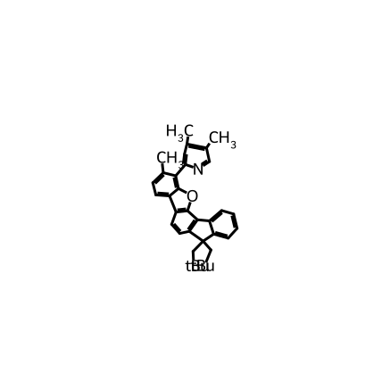 Cc1cnc(-c2c(C)ccc3c2oc2c4c(ccc23)C(CC(C)(C)C)(CC(C)(C)C)c2ccccc2-4)cc1C